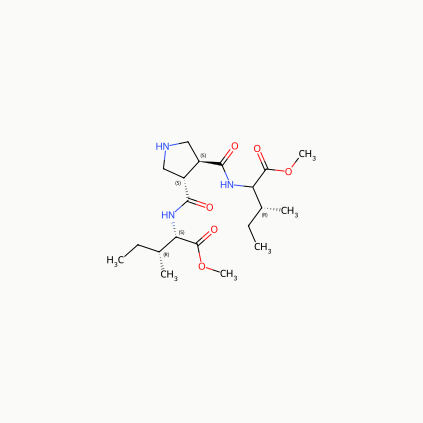 CC[C@@H](C)C(NC(=O)[C@@H]1CNC[C@H]1C(=O)N[C@H](C(=O)OC)[C@H](C)CC)C(=O)OC